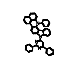 c1ccc(-c2cc(-n3c4ccccc4c4c5c(ccc43)-c3cccc4cccc(c34)N5c3ccccc3)nc(-c3ccccc3)n2)cc1